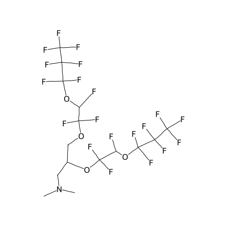 CN(C)CC(COC(F)(F)C(F)OC(F)(F)C(F)(F)C(F)(F)F)OC(F)(F)C(F)OC(F)(F)C(F)(F)C(F)(F)F